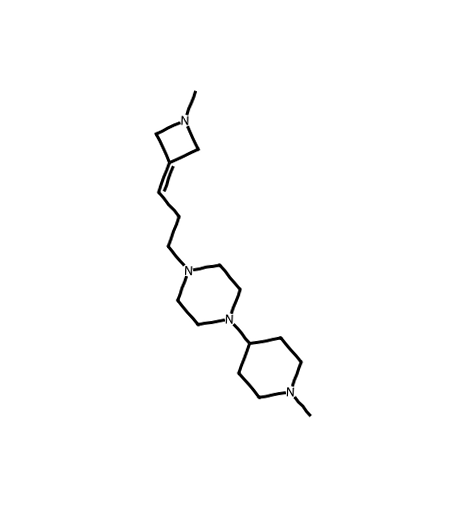 CN1CCC(N2CCN(CCC=C3CN(C)C3)CC2)CC1